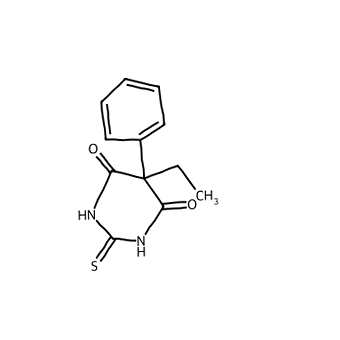 CCC1(c2ccccc2)C(=O)NC(=S)NC1=O